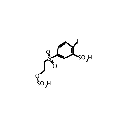 O=S(=O)(O)OCCS(=O)(=O)c1ccc(I)c(S(=O)(=O)O)c1